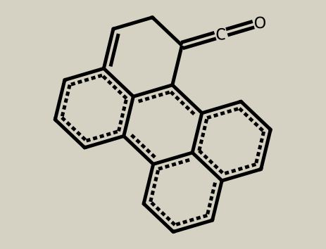 O=C=C1CC=c2cccc3c2c1c1cccc2cccc3c21